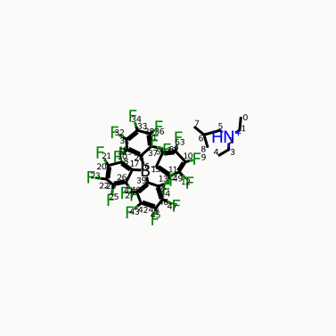 CC[NH+](CC)CC(C)C.Fc1c(F)c(F)c([B-](c2c(F)c(F)c(F)c(F)c2F)(c2c(F)c(F)c(F)c(F)c2F)c2c(F)c(F)c(F)c(F)c2F)c(F)c1F